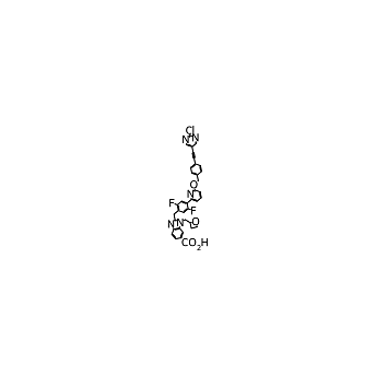 O=C(O)c1ccc2nc(Cc3cc(F)c(-c4cccc(OCc5ccc(C#Cc6cnc(Cl)nc6)cc5)n4)cc3F)n(CC3CCO3)c2c1